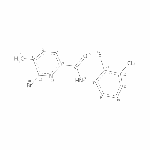 Cc1ccc(C(=O)Nc2cccc(Cl)c2F)nc1Br